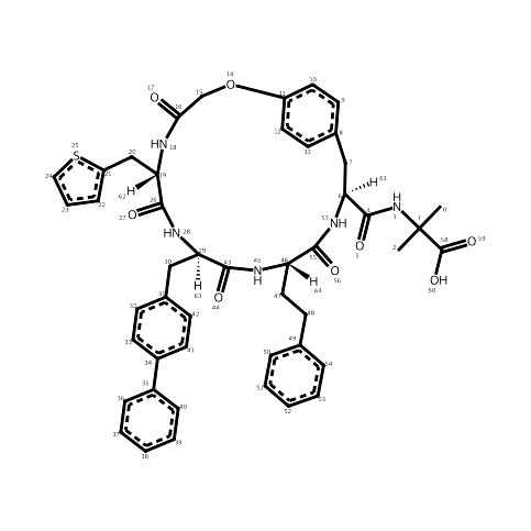 CC(C)(NC(=O)[C@@H]1Cc2ccc(cc2)OCC(=O)N[C@@H](Cc2cccs2)C(=O)N[C@H](Cc2ccc(-c3ccccc3)cc2)C(=O)N[C@@H](CCc2ccccc2)C(=O)N1)C(=O)O